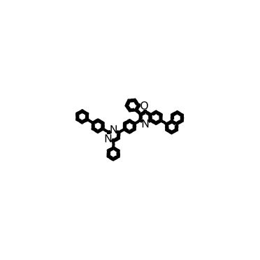 c1ccc(-c2ccc(-c3nc(-c4ccccc4)cc(-c4ccc(-c5nc6cc(-c7cccc8ccccc78)ccc6c6oc7ccccc7c56)cc4)n3)cc2)cc1